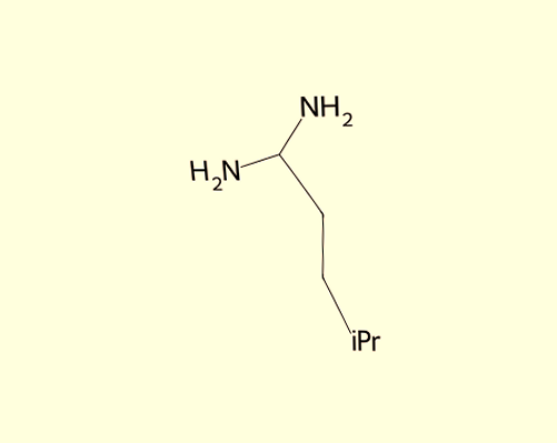 [CH2]C(C)CCC(N)N